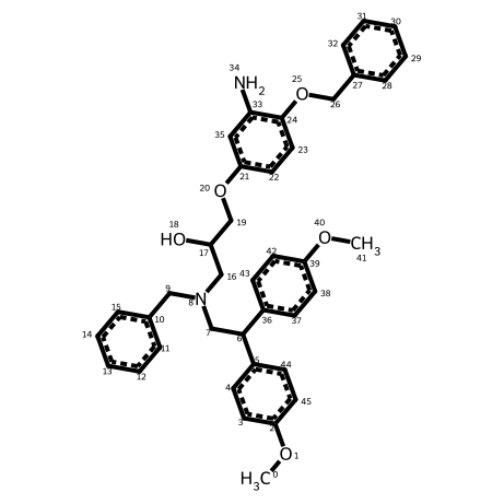 COc1ccc(C(CN(Cc2ccccc2)CC(O)COc2ccc(OCc3ccccc3)c(N)c2)c2ccc(OC)cc2)cc1